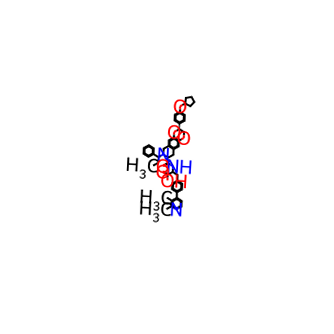 CC[C@@H](c1ccccc1)N1Cc2cc3c(cc2C[C@H]1C(=O)NC(Cc1ccc(-c2ccnc(C)c2C)cc1)C(=O)O)OC[C@H](c1ccc(OC2CCCC2)cc1)O3